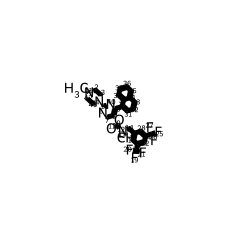 CN1CCN(c2ncc(OC(=O)N(C)Cc3cc(C(F)(F)F)cc(C(F)(F)F)c3)c(-c3cccc4ccccc34)n2)CC1